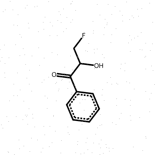 O=C(c1ccccc1)C(O)CF